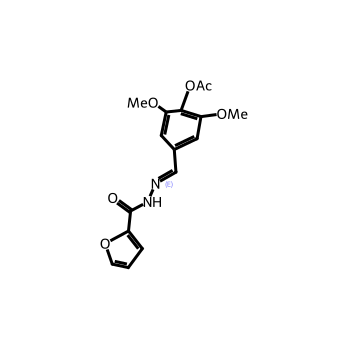 COc1cc(/C=N/NC(=O)c2ccco2)cc(OC)c1OC(C)=O